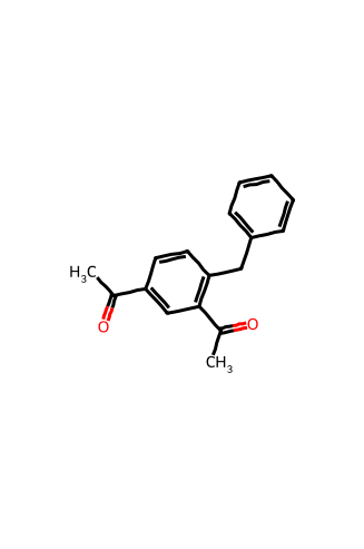 CC(=O)c1ccc(Cc2ccccc2)c(C(C)=O)c1